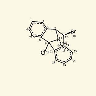 CN1C2c3cccnc3C1(Cl)c1ccccc1[C@@H]2Br